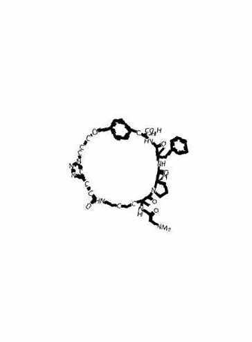 CNCC(=O)NC1(C)CCCCNC(=O)CCc2cn(nn2)CCCOc2ccc(cc2)C[C@@H](C(=O)O)NC(=O)C(C)(Cc2ccccc2)NC(=O)[C@@H]2CCCN2C1=O